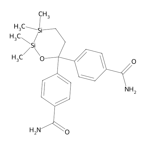 C[Si]1(C)CCC(c2ccc(C(N)=O)cc2)(c2ccc(C(N)=O)cc2)O[Si]1(C)C